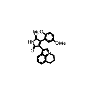 COc1ccc(OC)c(C2=C(c3cn4c5c(cccc35)CCC4)C(=O)NC2=O)c1